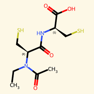 CCN(C(C)=O)[C@@H](CS)C(=O)N[C@H](CS)C(=O)O